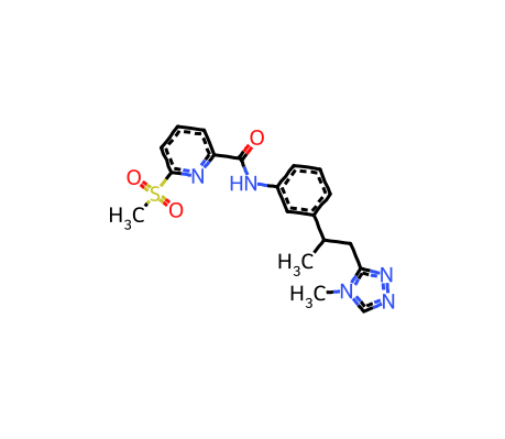 CC(Cc1nncn1C)c1cccc(NC(=O)c2cccc(S(C)(=O)=O)n2)c1